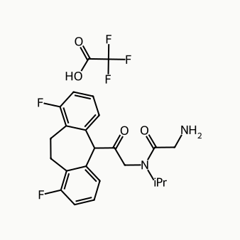 CC(C)N(CC(=O)C1c2cccc(F)c2CCc2c(F)cccc21)C(=O)CN.O=C(O)C(F)(F)F